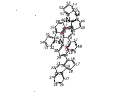 c1ccc(-c2ccccc2N(c2ccc(-c3cccc4c3ccc3ccccc34)cc2)c2ccccc2-c2ccc3c(c2)c2cccc4c2n3-c2ccccc2O4)cc1